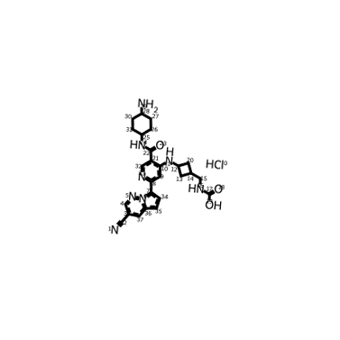 Cl.N#Cc1cnn2c(-c3cc(NC4CC(CNC(=O)O)C4)c(C(=O)NC4CCC(N)CC4)cn3)ccc2c1